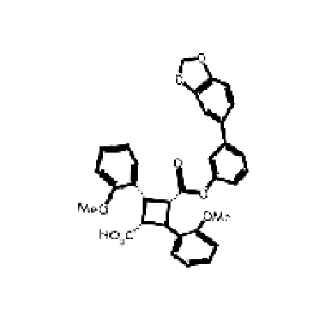 COc1ccccc1C1[C@@H](C(=O)Oc2cccc(-c3ccc4c(c3)OCO4)c2)[C@@H](c2ccccc2OC)[C@H]1C(=O)O